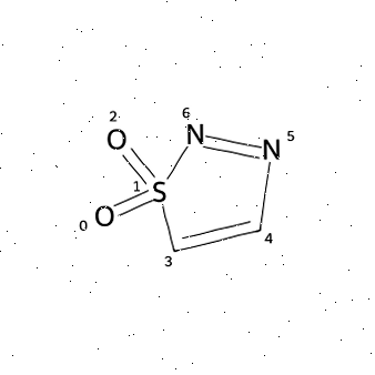 O=S1(=O)C=CN=N1